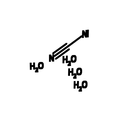 N#[C][Ni].O.O.O.O